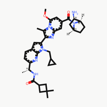 COc1cc(C(=O)N2[C@H]3CC[C@@H]2[C@H](N)C3)cc2nc(-c3cc4ccc([C@@H](C)NC(=O)C5CC(C)(C)C5)nc4n3CC3CC3)c(C)n12